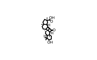 CC1(C)[C@H]2CC[C@]34C(=C5[C@H]6C[C@@](C)(C(=O)O)CC[C@@]6(C)CC[C@@]53C)C(=O)[C@H]4[C@]2(C)CC[C@@H]1O